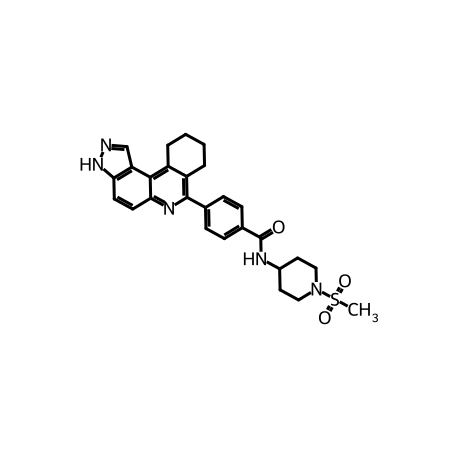 CS(=O)(=O)N1CCC(NC(=O)c2ccc(-c3nc4ccc5[nH]ncc5c4c4c3CCCC4)cc2)CC1